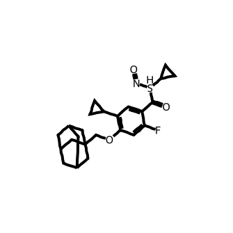 O=N[SH](C(=O)c1cc(C2CC2)c(OCC23CC4CC(CC(C4)C2)C3)cc1F)C1CC1